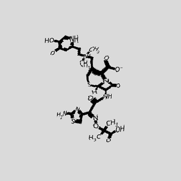 CC(C)(ON=C(C(=O)N[C@@H]1C(=O)N2C(C(=O)[O-])=C(C[N+](C)(C)CCc3cc(=O)c(O)c[nH]3)CS[C@@H]12)c1csc(N)n1)C(=O)O